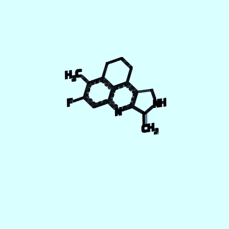 C=C1NCc2c1nc1cc(F)c(C)c3c1c2CCC3